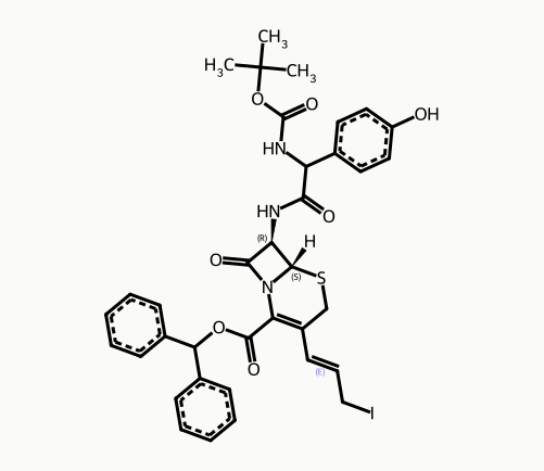 CC(C)(C)OC(=O)NC(C(=O)N[C@@H]1C(=O)N2C(C(=O)OC(c3ccccc3)c3ccccc3)=C(/C=C/CI)CS[C@@H]12)c1ccc(O)cc1